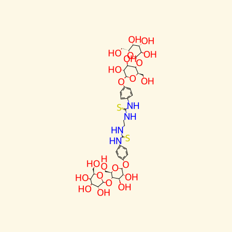 OC[C@H]1O[C@@H](O[C@H]2[C@H](O)[C@@H](O)[C@H](Oc3ccc(NC(=S)NCCNC(=S)Nc4ccc(O[C@@H]5O[C@H](CO)[C@@H](O[C@@H]6O[C@H](CO)[C@H](O)[C@H](O)[C@H]6O)[C@H](O)[C@H]5O)cc4)cc3)O[C@@H]2CO)[C@H](O)[C@@H](O)[C@H]1O